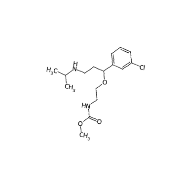 COC(=O)NCCOC(CCNC(C)C)c1cccc(Cl)c1